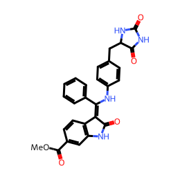 COC(=O)c1ccc2c(c1)NC(=O)/C2=C(\Nc1ccc(CC2NC(=O)NC2=O)cc1)c1ccccc1